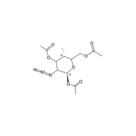 CC(=O)OCC1O[C@@H](OC(C)=O)C(N=[N+]=[N-])C(OC(C)=O)[C@@H]1C